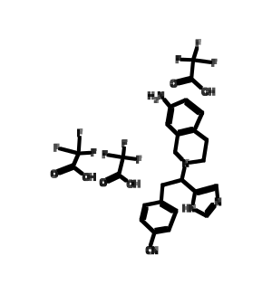 N#Cc1ccc(CC(c2cnc[nH]2)N2CCc3ccc(N)cc3C2)cc1.O=C(O)C(F)(F)F.O=C(O)C(F)(F)F.O=C(O)C(F)(F)F